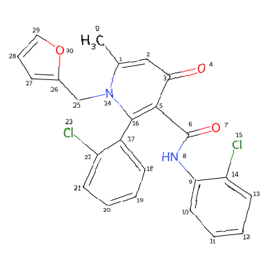 Cc1cc(=O)c(C(=O)Nc2ccccc2Cl)c(-c2ccccc2Cl)n1Cc1ccco1